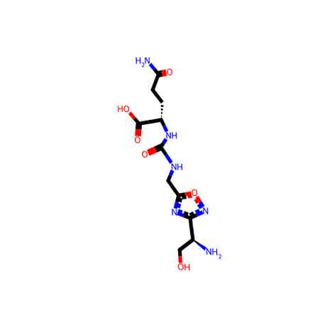 NC(=O)CC[C@H](NC(=O)NCc1nc([C@@H](N)CO)no1)C(=O)O